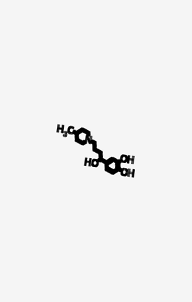 CC1CCN(CCCC(O)c2ccc(O)c(O)c2)CC1